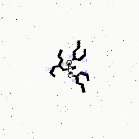 C=C/C=C(\C=C/C)CP(=C)(OC(/C=C\C)=C/C=C)OC(/C=C\C)=C/C=C